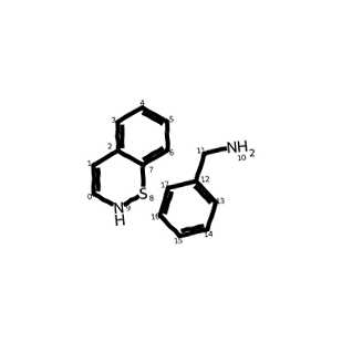 C1=Cc2ccccc2SN1.NCc1ccccc1